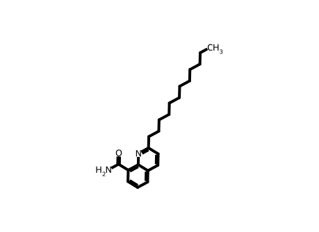 CCCCCCCCCCCCc1ccc2cccc(C(N)=O)c2n1